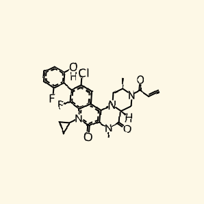 C=CC(=O)N1C[C@@H]2C(=O)N(C)c3c(c4cc(Cl)c(-c5c(O)cccc5F)c(F)c4n(C4CC4)c3=O)N2C[C@H]1C